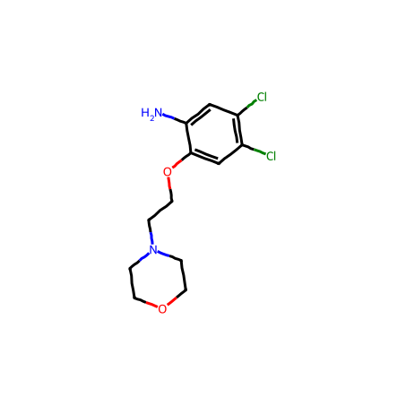 Nc1cc(Cl)c(Cl)cc1OCCN1CCOCC1